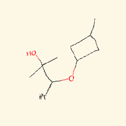 CC1CC(OC(C(C)C)C(C)(C)O)C1